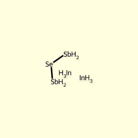 [InH3].[InH3].[SbH2][Se][SbH2]